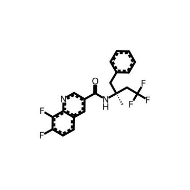 C[C@](Cc1ccccc1)(CC(F)(F)F)NC(=O)c1cnc2c(F)c(F)ccc2c1